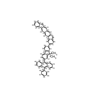 CC1(C)c2cc(-c3ccc4sc5cc6cc7sc8ccccc8c7cc6cc5c4c3)ccc2-c2ccc(-c3c4ccccc4c(-c4ccccc4)c4ccccc34)cc21